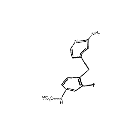 Nc1cc(Cc2ccc(NC(=O)O)cc2F)ccn1